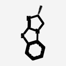 C[C@@H]1CN2C(=N1)Sc1ccccc12